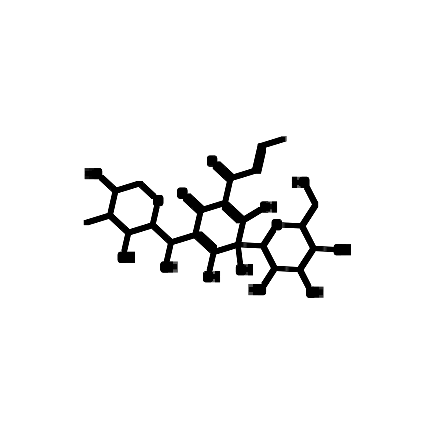 C/C=C/C(=O)C1=C(O)C(O)(C2OC(CO)C(O)C(O)C2O)C(O)=C(C(O)C2OCC(O)C(C)C2O)C1=O